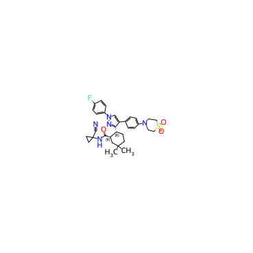 CC1(C)CC[C@@H](c2nn(-c3ccc(F)cc3)cc2-c2ccc(N3CCS(=O)(=O)CC3)cc2)[C@H](C(=O)NC2(C#N)CC2)C1